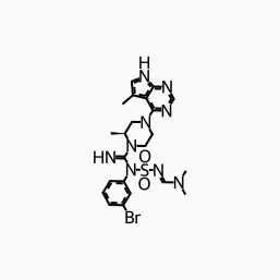 Cc1c[nH]c2ncnc(N3CCN(C(=N)N(c4cccc(Br)c4)S(=O)(=O)N=CN(C)C)[C@@H](C)C3)c12